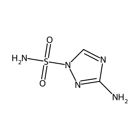 Nc1ncn(S(N)(=O)=O)n1